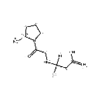 C=C(O)CC(CC)(CC)NCC(=O)N1CCC[C@H]1C#N